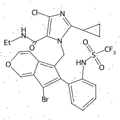 CCNC(=O)c1c(Cl)nc(C2CC2)n1Cc1c2ccocc-2c(Br)c1-c1ccccc1NS(=O)(=O)C(F)(F)F